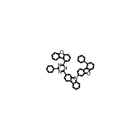 c1ccc(-c2nc(-c3ccc4c5ccccc5n(-c5ccc6c(c5)oc5cccc(-c7ccccc7)c56)c4c3)nc(-c3cccc4oc5ccccc5c34)n2)cc1